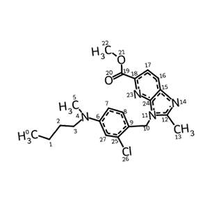 CCCCN(C)c1ccc(Cn2c(C)nc3ccc(C(=O)OC)nc32)c(Cl)c1